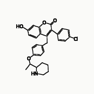 CC(Oc1ccc(Cc2c(-c3ccc(Cl)cc3)c(=O)oc3cc(O)ccc23)cc1)C1CCCCN1